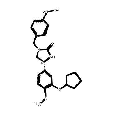 COc1ccc([C@@H]2CN(Cc3ccc(NO)cc3)C(=O)N2)cc1OC1CCCC1